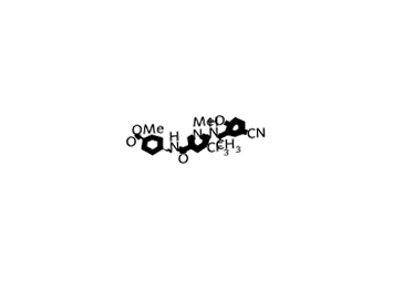 COc1ccc(C#N)cc1[C@H](C)Nc1ncc(C(=O)NC[C@H]2CC[C@H](C(=O)OC)CC2)cc1C(F)(F)F